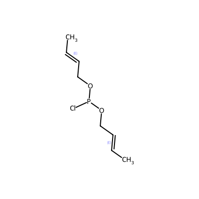 C/C=C/COP(Cl)OC/C=C/C